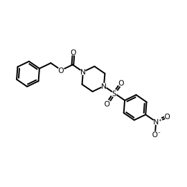 O=C(OCc1ccccc1)N1CCN(S(=O)(=O)c2ccc([N+](=O)[O-])cc2)CC1